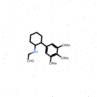 COc1cc(C2CCCCC2NCC=O)cc(OC)c1OC